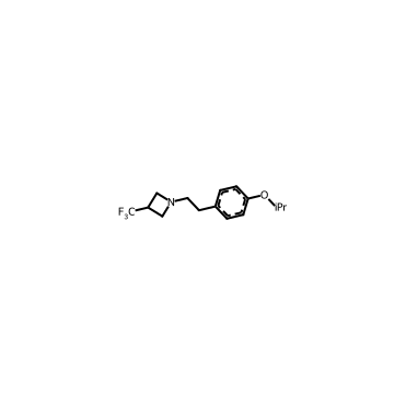 CC(C)Oc1ccc(CCN2CC(C(F)(F)F)C2)cc1